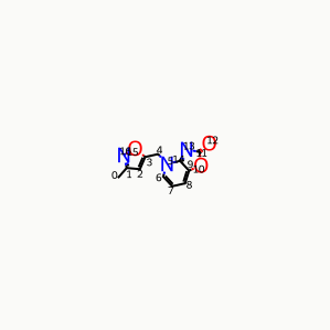 Cc1cc(Cn2cccc3oc(=O)nc2-3)on1